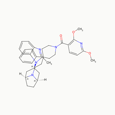 COc1ccc(C(=O)N2CCC(CCN3[C@@H]4CC[C@H]3C[C@@H](n3c(C)nc5ccccc53)C4)(c3ccccc3)CC2)c(OC)n1